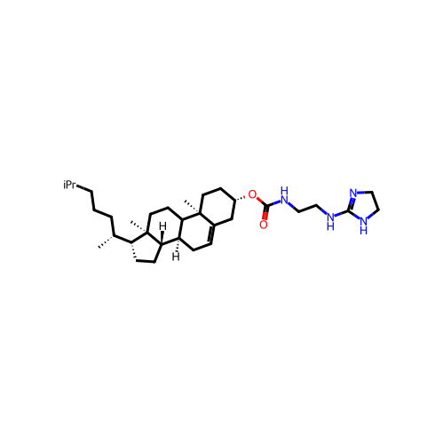 CC(C)CCC[C@@H](C)[C@H]1CC[C@H]2[C@@H]3CC=C4C[C@@H](OC(=O)NCCNC5=NCCN5)CC[C@]4(C)C3CC[C@]12C